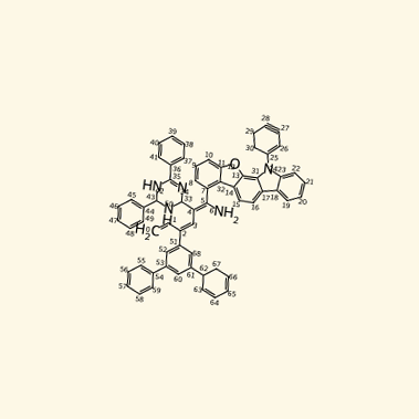 C=C/C(=C\C(=C(/N)c1cccc2oc3c(ccc4c5ccccc5n(C5=CC#CCC5)c43)c12)C1N=C(c2ccccc2)NC(c2ccccc2)N1)c1cc(-c2ccccc2)cc(C2C=CC=CC2)c1